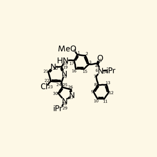 COc1cc(C(=O)N(Cc2ccccc2)C(C)C)ccc1Nc1ncc(Cl)c(-c2cnn(C(C)C)c2)n1